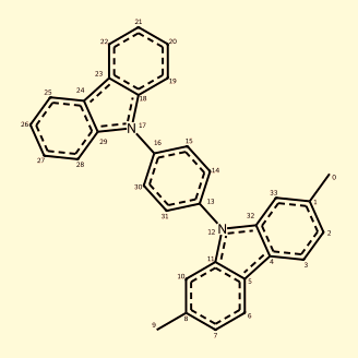 Cc1ccc2c3ccc(C)cc3n(-c3ccc(-n4c5ccccc5c5ccccc54)cc3)c2c1